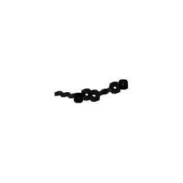 CCCCCCOc1ccc2cc(C#Cc3ccc(OC)cc3)ccc2c1